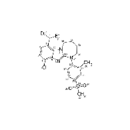 CCC(CC)c1ccc(Cl)c2nc3n(c12)CCCCN3c1ccc(S(C)(=O)=O)cc1C